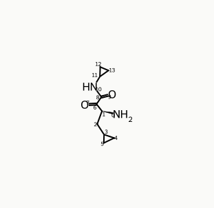 N[C@@H](CC1CC1)C(=O)C(=O)NC1CC1